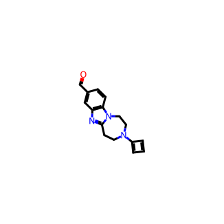 O=Cc1ccc2c(c1)nc1n2CCN(C2=CC=C2)CC1